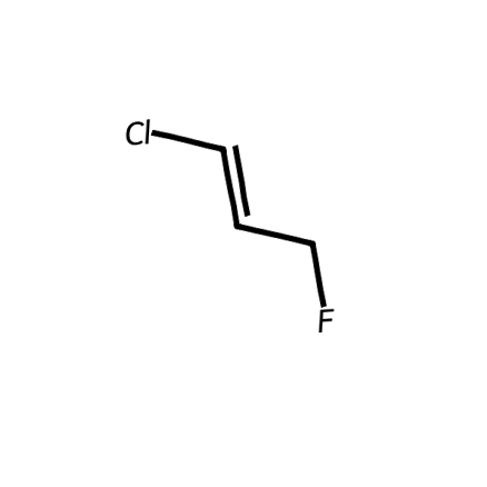 FCC=CCl